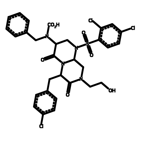 O=C1C(Cc2ccc(Cl)cc2)N2C(=O)C(N(Cc3ccccc3)C(=O)O)CN(S(=O)(=O)c3ccc(Cl)cc3Cl)C2CN1CCO